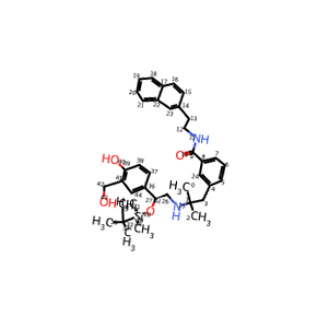 CC(C)(Cc1cccc(C(=O)NCCc2ccc3ccccc3c2)c1)NC[C@@H](O[Si](C)(C)C(C)(C)C)c1ccc(O)c(CO)c1